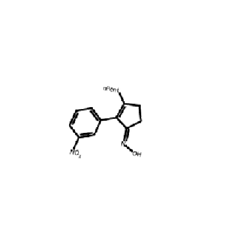 CCCCCC1=C(c2cccc([N+](=O)[O-])c2)/C(=N/O)CC1